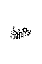 N[C@H]1CO[C@@H](CF)C[C@H]1NC(=S)Nc1cccc2c1OCCO2